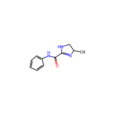 N#CC1CNC(C(=O)Nc2ccccc2)=N1